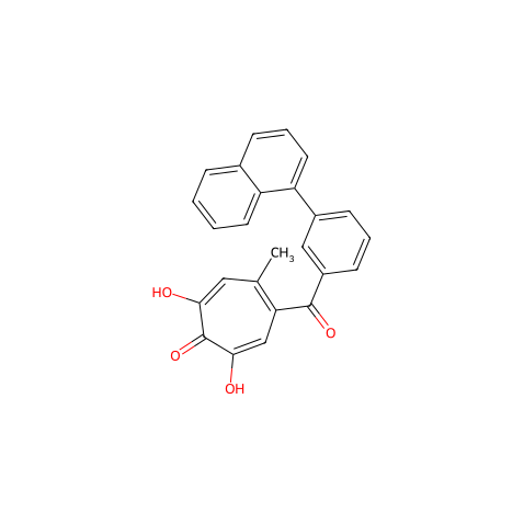 Cc1cc(O)c(=O)c(O)cc1C(=O)c1cccc(-c2cccc3ccccc23)c1